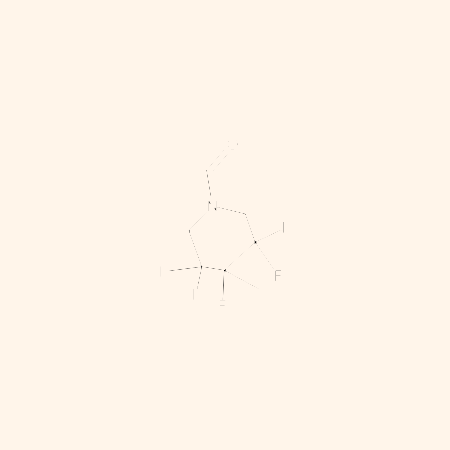 O=[C]N1CC(F)(F)C(F)(F)C(F)(F)C1